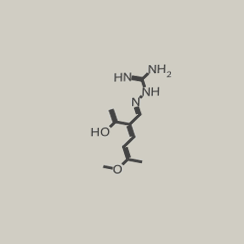 C=C(O)C(=C\C=C(/C)OC)/C=N/NC(=N)N